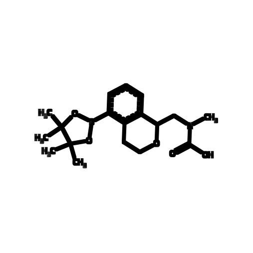 CN(CC1OCCc2c(B3OC(C)(C)C(C)(C)O3)cccc21)C(=O)O